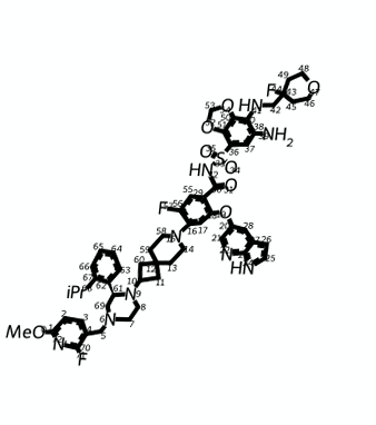 COc1ccc(CN2CCN(C3CC4(CCN(c5cc(Oc6cnc7[nH]ccc7c6)c(C(=O)NS(=O)(=O)c6cc(N)c(NCC7(F)CCOCC7)c7c6OCO7)cc5F)CC4)C3)[C@H](c3ccccc3C(C)C)C2)c(F)n1